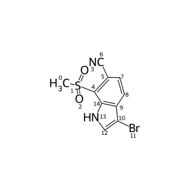 CS(=O)(=O)c1c(C#N)ccc2c(Br)c[nH]c12